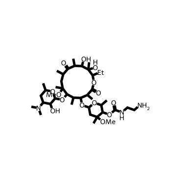 CCC1OC(=O)C(C)C(OC2CC(C)(OC)C(OC(=O)NCCN)C(C)O2)C(C)C(OC2OC(C)CC(N(C)C)C2O)C(C)(OC)CC(C)C(=O)C(C)C(O)C1(C)O